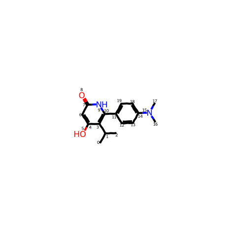 CC(C)c1c(O)cc(=O)[nH]c1-c1ccc(N(C)C)cc1